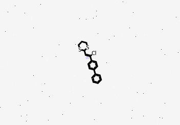 Cl/C(=C\C1SCCCS1)c1ccc(-c2ccccc2)cc1